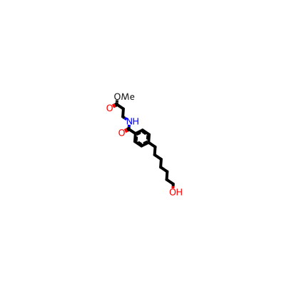 COC(=O)CCNC(=O)c1ccc(CCCCCCCO)cc1